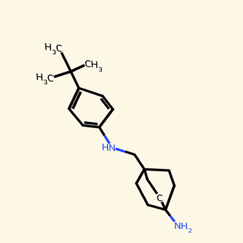 CC(C)(C)c1ccc(NCC23CCC(N)(CC2)CC3)cc1